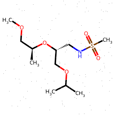 COC[C@H](C)O[C@H](CNS(C)(=O)=O)COC(C)C